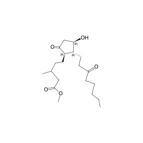 CCCCCC(=O)CC[C@H]1[C@H](O)CC(=O)[C@@H]1CCC(C)CC(=O)OC